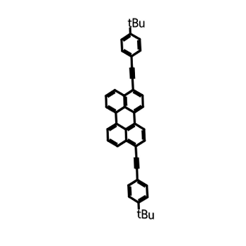 CC(C)(C)c1ccc(C#Cc2ccc3c4ccc(C#Cc5ccc(C(C)(C)C)cc5)c5cccc(c6cccc2c63)c54)cc1